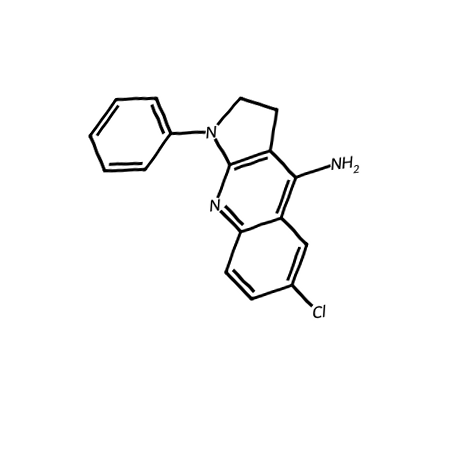 Nc1c2c(nc3ccc(Cl)cc13)N(c1ccccc1)CC2